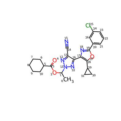 CC(OC(=O)C1CCCCC1)n1nc(C#N)c(-c2nc(-c3cccc(Cl)c3)oc2C2CC2)n1